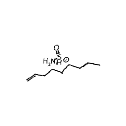 C=CCCCCCCC.N[SH](=O)=O